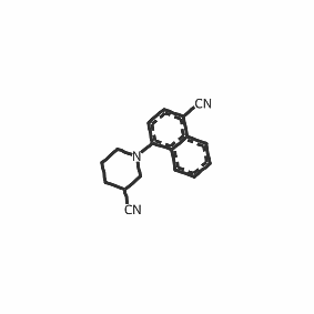 N#Cc1ccc(N2CCCC(C#N)C2)c2ccccc12